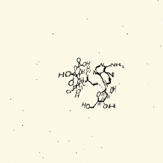 C=C(C)CC[C@@]1(n2cnc3c(N)ncnc32)O[C@H](CO)[C@@H](O)[C@H]1O.O=P(O)(O)OP(=O)(O)OP(=O)(O)O